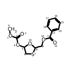 COC(=O)OC1CSC(COC(=O)c2ccccc2)O1